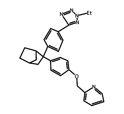 CCn1nnc(-c2ccc(C3(c4ccc(OCc5ccccn5)cc4)CC4CCC3C4)cc2)n1